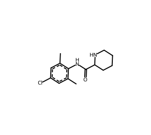 Cc1cc(Cl)cc(C)c1NC(=O)C1CCCCN1